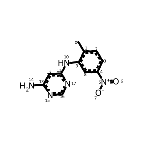 Cc1ccc([N+](=O)[O-])cc1Nc1cc(N)ncn1